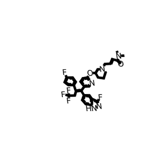 CN(C)C(=O)C=CCN1CCCC(Oc2ccc(/C(=C(/CC(F)(F)F)c3ccc(F)cc3)c3ccc4[nH]nc(F)c4c3)cn2)C1